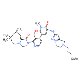 C=C1/C=C2/C(=O)N(c3nccc(-c4cc(Nc5cc6n(n5)CCN(CCCOC)C6)c(=O)n(C)c4)c3CO)CCN2CCC(C)(C)C1